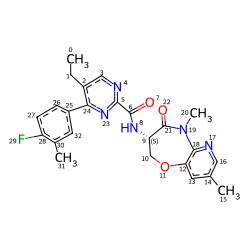 CCc1cnc(C(=O)N[C@H]2COc3cc(C)cnc3N(C)C2=O)nc1-c1ccc(F)c(C)c1